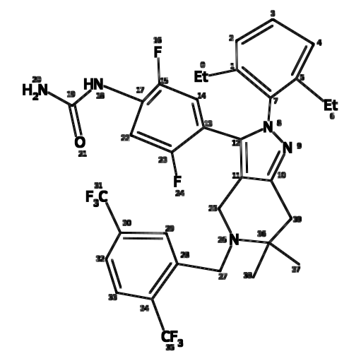 CCc1cccc(CC)c1-n1nc2c(c1-c1cc(F)c(NC(N)=O)cc1F)CN(Cc1cc(C(F)(F)F)ccc1C(F)(F)F)C(C)(C)C2